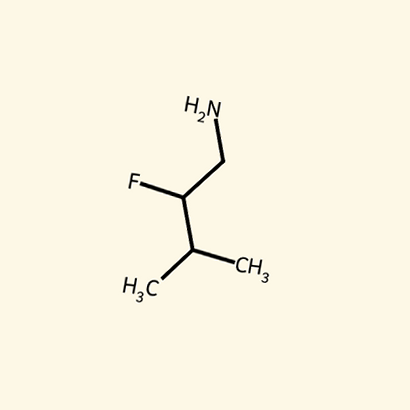 CC(C)C(F)CN